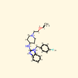 C=COCCN1CCC(Nc2nc3ccccc3n2Cc2ccc(F)cc2)CC1